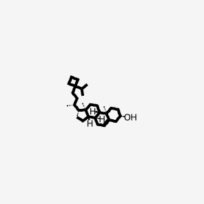 CC(C)C1(CC[C@@H](C)[C@H]2CC[C@H]3[C@@H]4CC=C5C[C@@H](O)CC[C@]5(C)[C@H]4CC[C@]23C)CCC1